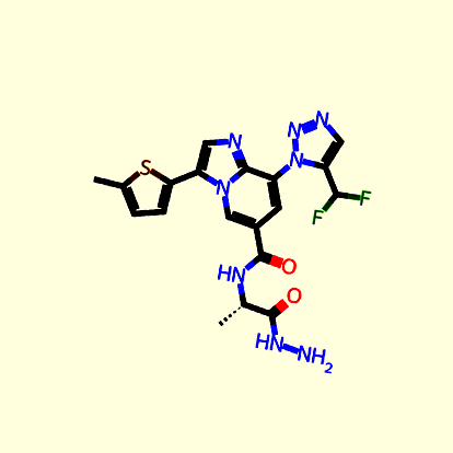 Cc1ccc(-c2cnc3c(-n4nncc4C(F)F)cc(C(=O)N[C@@H](C)C(=O)NN)cn23)s1